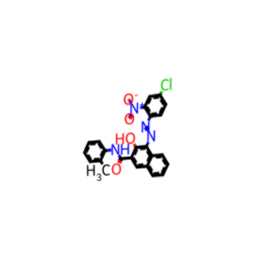 Cc1ccccc1NC(=O)c1cc2ccccc2c(/N=N/c2ccc(Cl)cc2[N+](=O)[O-])c1O